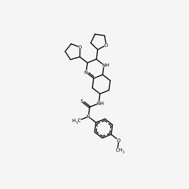 COc1ccc(N(C)C(=S)NC2CCC3NC(C4CCCO4)C(C4CCCO4)N=C3C2)cc1